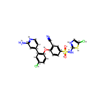 N#Cc1cc(S(=O)(=O)Nc2ncc(Cl)s2)ccc1Oc1ccc(Cl)cc1-c1ccnc(N)c1